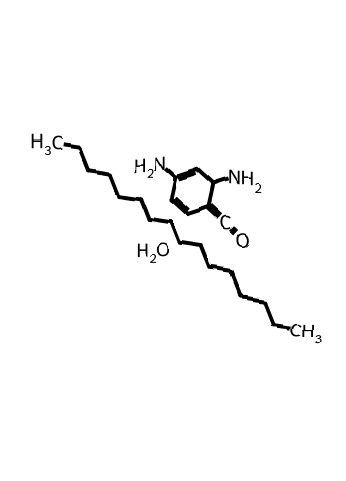 CCCCCCCCCCCCCCCC.NC1=CC(N)C(=C=O)C=C1.O